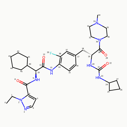 CCn1nccc1C(=O)N[C@H](C(=O)Nc1ccc(C[C@@H](NC(=O)NC2CCC2)C(=O)N2CCN(C)CC2)cc1F)C1CCCCC1